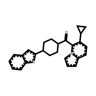 O=C(c1c(C2CC2)ccc2cccn12)C1CCC(c2cc3ccccc3s2)CC1